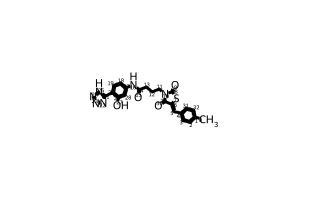 Cc1ccc(/C=C2\SC(=O)N(CCCC(=O)Nc3ccc(-c4nnn[nH]4)c(O)c3)C2=O)cc1